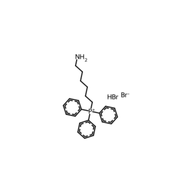 Br.NCCCCCC[P+](c1ccccc1)(c1ccccc1)c1ccccc1.[Br-]